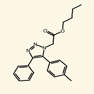 CCCCOC(=O)Cn1nnc(-c2ccccc2)c1-c1ccc(C)cc1